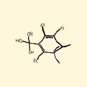 CCc1c(C)c(C)c(CC)c(C(O)(O)O)c1CC